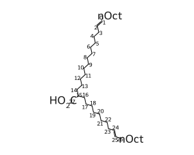 CCCCCCCCC=CCCCCCCCCCCCCC(CCCCCCCCC=CCCCCCCCC)C(=O)O